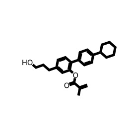 C=C(C)C(=O)Oc1cc(CCCO)ccc1-c1ccc(C2CCCCC2)cc1